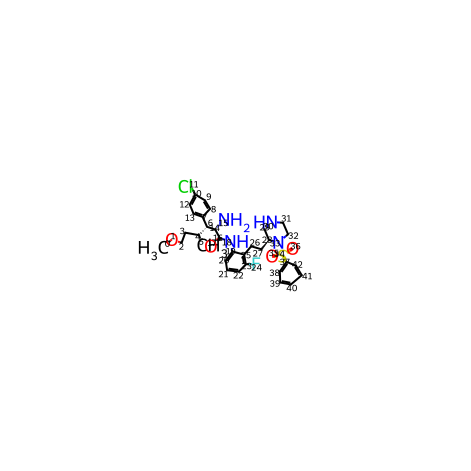 COCCC(C)[C@H](c1ccc(Cl)cc1)[C@H](N)C(=O)Nc1cccc(F)c1CC[C@H]1CNCCN1S(=O)(=O)c1ccccc1